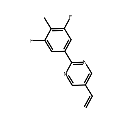 C=Cc1cnc(-c2cc(F)c(C)c(F)c2)nc1